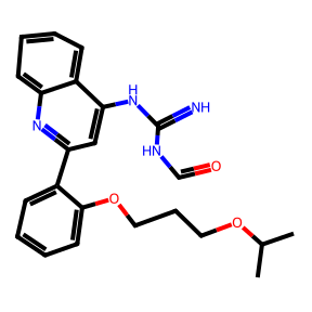 CC(C)OCCCOc1ccccc1-c1cc(NC(=N)NC=O)c2ccccc2n1